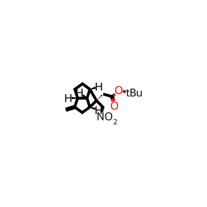 C=C1C[C@@H]2[C@@H]3[C@H]1CC[C@@H]3[C@@]2(CC(=O)OC(C)(C)C)C[N+](=O)[O-]